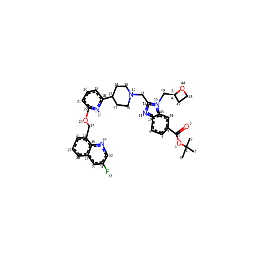 CC(C)(C)OC(=O)c1ccc2nc(CN3CCC(c4cccc(OCc5cccc6cc(F)cnc56)n4)CC3)n(C[C@@H]3CCO3)c2c1